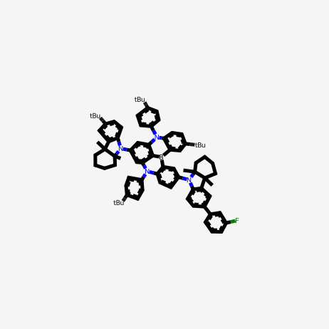 CC(C)(C)c1ccc(N2c3ccc(N4c5ccc(-c6cccc(F)c6)cc5C5(C)CCCCC45C)cc3B3c4cc(C(C)(C)C)ccc4N(c4ccc(C(C)(C)C)cc4)c4cc(N5c6ccc(C(C)(C)C)cc6C6(C)CCCCC56C)cc2c43)cc1